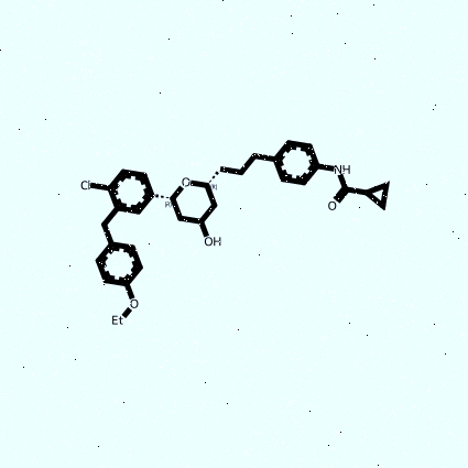 CCOc1ccc(Cc2cc([C@H]3CC(O)C[C@@H](CCCc4ccc(NC(=O)C5CC5)cc4)O3)ccc2Cl)cc1